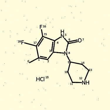 Cc1cc2c([nH]c(=O)n2C2CCNCC2)c(F)c1F.Cl